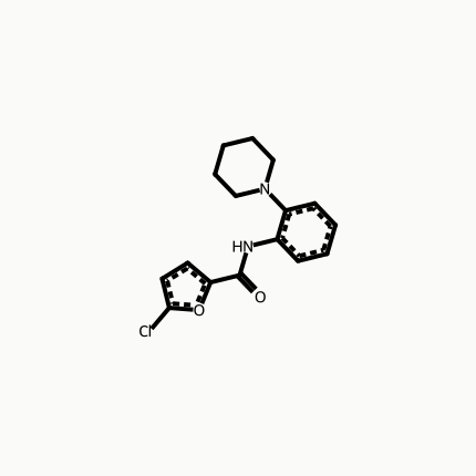 O=C(Nc1ccccc1N1CCCCC1)c1ccc(Cl)o1